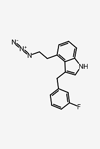 [N-]=[N+]=NCCc1cccc2[nH]cc(Cc3cccc(F)c3)c12